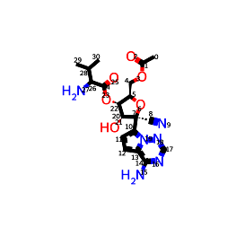 CC(=O)OC[C@H]1O[C@@](C#N)(c2ccc3c(N)ncnn23)[C@H](O)[C@@H]1OC(=O)C(N)C(C)C